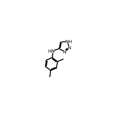 Cc1ccc(Nc2c[nH]nn2)c(C)c1